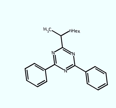 CCC[CH]CCC(C)c1nc(-c2ccccc2)nc(-c2ccccc2)n1